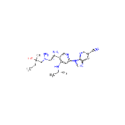 CCC(C)(O)CN(N)/C=C(\N)c1cnc(-n2cnc3cc(C#N)cnc32)cc1NC(C)C